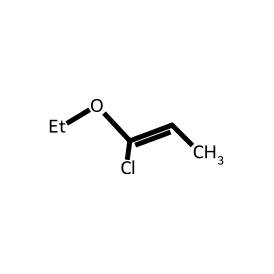 [CH2]COC(Cl)=CC